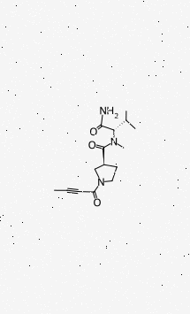 CC#CC(=O)N1CC[C@H](C(=O)N(C)[C@H](C(N)=O)C(C)C)C1